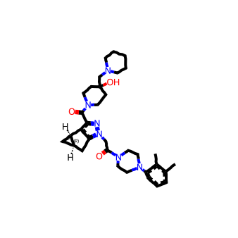 Cc1cccc(N2CCN(C(=O)Cn3nc(C(=O)N4CCC(O)(CN5CCCCC5)CC4)c4c3C[C@H]3C[C@@H]43)CC2)c1C